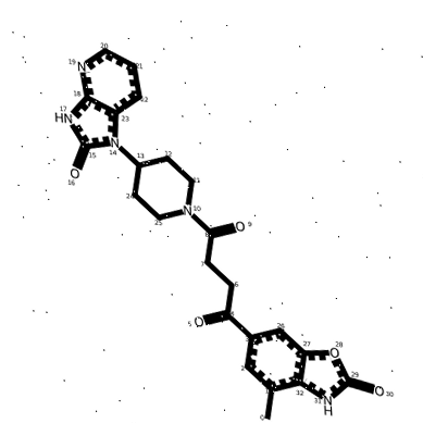 Cc1cc(C(=O)CCC(=O)N2CCC(n3c(=O)[nH]c4ncccc43)CC2)cc2oc(=O)[nH]c12